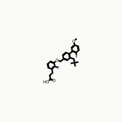 COc1ccc(F)c(-c2ccc(COc3cccc(CCC(=O)O)c3F)cc2CC(C)(C)C)c1